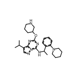 CC(C)c1cnn2c(NC(C)c3ccccc3N3CCCCC3)nc(OC3CCCNC3)nc12